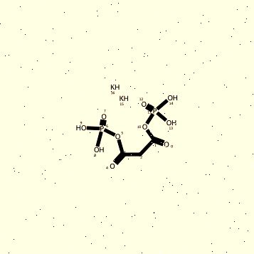 O=C(CC(=O)OP(=O)(O)O)OP(=O)(O)O.[KH].[KH]